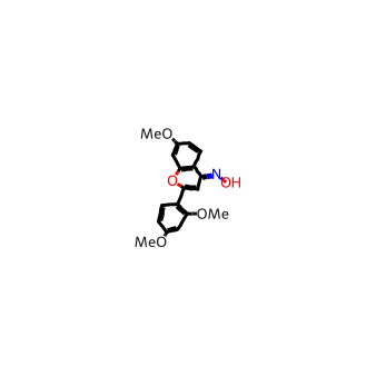 COc1ccc(-c2cc(=NO)c3ccc(OC)cc3o2)c(OC)c1